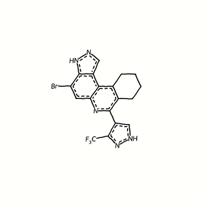 FC(F)(F)c1n[nH]cc1-c1nc2cc(Br)c3[nH]ncc3c2c2c1CCCC2